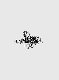 COc1ccc(-c2cc3c(cc2OC)N(C)C(=O)CN=C3c2cccc(C(N)=O)c2)cc1.COc1ccccc1-c1cc2c(cc1OC)N(C)C(=O)CN=C2c1cccc(C(N)=O)c1